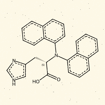 O=C(O)[C@H](Cc1c[nH]cn1)N(c1cccc2ccccc12)c1cccc2ccccc12